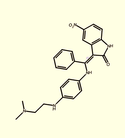 CN(C)CCNc1ccc(N/C(=C2\C(=O)Nc3ccc([N+](=O)[O-])cc32)c2ccccc2)cc1